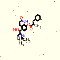 CCC(NC(C)C)C(O)c1ccc(OC(=O)C(C)CC2CCCCC2)c2[nH]c(=O)ccc12